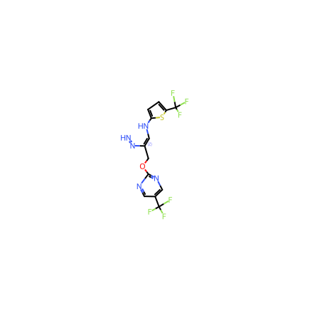 N=N/C(=C\Nc1ccc(C(F)(F)F)s1)COc1ncc(C(F)(F)F)cn1